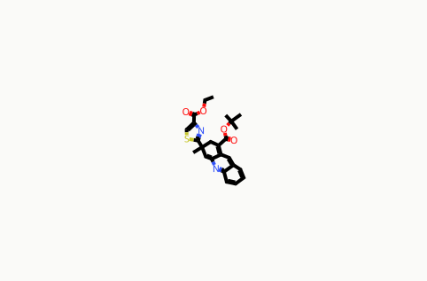 CCOC(=O)c1csc(C2(C)C=c3nc4ccccc4cc3=C(C(=O)OC(C)(C)C)C2)n1